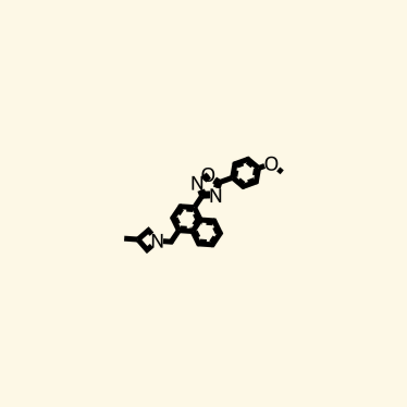 COc1ccc(-c2nc(-c3ccc(CN4CC(C)C4)c4ccccc34)no2)cc1